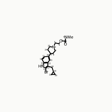 CNC(=O)OCCN1CCC(c2ccc3[nH]c(Br)c(CC4CC4)c3c2)CC1